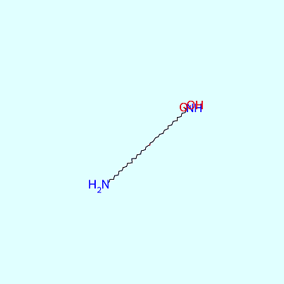 NCCCCCCCCCCCCCCCCCCCCCCCCCCCCCCCCCCCC(=O)NO